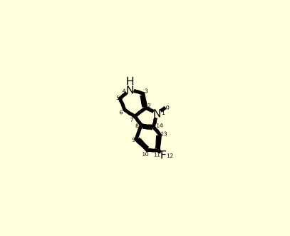 CN1C2=CNCCC2c2ccc(F)cc21